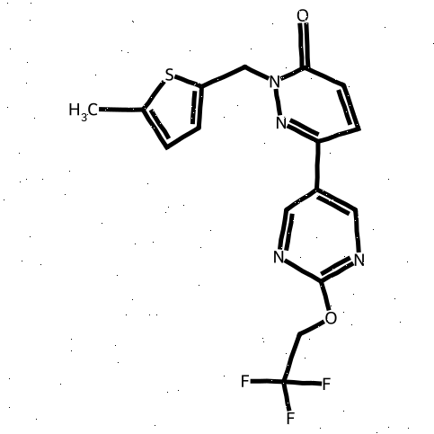 Cc1ccc(Cn2nc(-c3cnc(OCC(F)(F)F)nc3)ccc2=O)s1